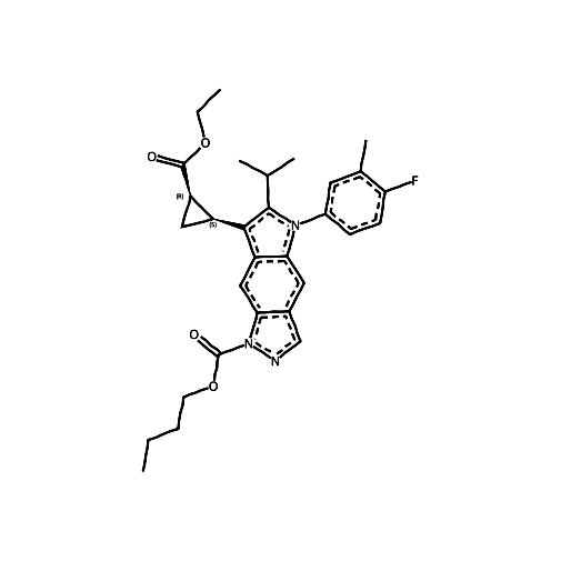 CCCCOC(=O)n1ncc2cc3c(cc21)c([C@H]1C[C@H]1C(=O)OCC)c(C(C)C)n3-c1ccc(F)c(C)c1